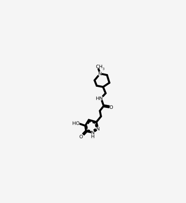 CN1CCC(CNC(=O)CCc2cc(O)c(=O)[nH]n2)CC1